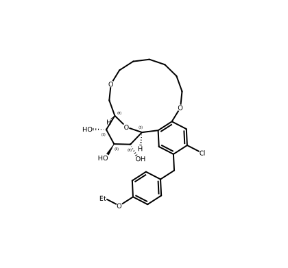 CCOc1ccc(Cc2cc3c(cc2Cl)OCCCCCCOC[C@H]2O[C@@H]3[C@H](O)[C@@H](O)[C@@H]2O)cc1